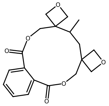 CC1CC2(COC2)COC(=O)c2ccccc2C(=O)OCC12COC2